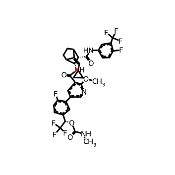 CNC(=O)O[C@@H](c1ccc(F)c(-c2cnc(OC)c(C(=O)N[C@@H]3C4CCC(/C4=C/C4CC4)[C@@H]3C(=O)Nc3ccc(F)c(C(F)(F)F)c3)c2)c1)C(F)(F)F